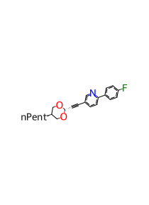 CCCCC[C@H]1CO[C@H](C#Cc2ccc(-c3ccc(F)cc3)nc2)OC1